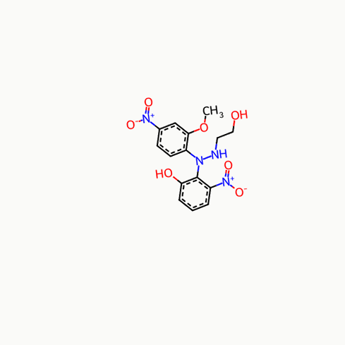 COc1cc([N+](=O)[O-])ccc1N(NCCO)c1c(O)cccc1[N+](=O)[O-]